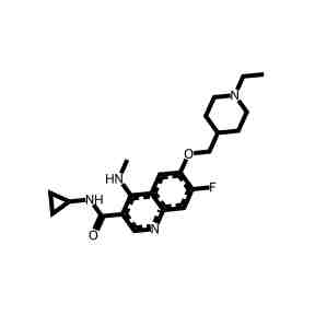 CCN1CCC(COc2cc3c(NC)c(C(=O)NC4CC4)cnc3cc2F)CC1